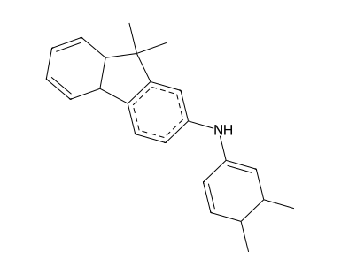 CC1C=CC(Nc2ccc3c(c2)C(C)(C)C2C=CC=CC32)=CC1C